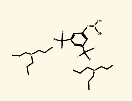 CCCN(CCC)CCC.CCCN(CCC)CCC.OB(O)Oc1cc(C(F)(F)F)cc(C(F)(F)F)c1